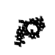 CCn1c(-c2cccnc2[C@H](C)OC)c2c3cc(ccc31)-c1cc(O)cc(c1)C[C@H](NC(=O)C(C(C)C)N1CC[C@]3(CCCN(C(=O)[C@@H]4CN4)C3)C1=O)C(=O)N1CCC[C@H](N1)C(=O)OCC(C)(C)C2